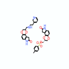 Cc1ccc(S(=O)(=O)OC[C@H]2COc3ccc4c(c3O2)CC(=O)N4)cc1.O=C1Cc2c(ccc3c2OC(CNCCc2cccnc2)CO3)N1